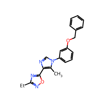 CCc1noc(-c2ncn(-c3cccc(OCc4ccccc4)c3)c2C)n1